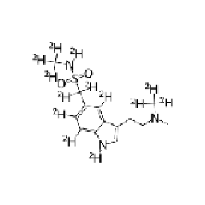 [2H]c1c(C([2H])([2H])S(=O)(=O)N([2H])C([2H])([2H])[2H])c([2H])c2c(CCN(C)C([2H])([2H])[2H])cn([2H])c2c1[2H]